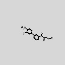 CC(C)CCNC(=O)c1cccc(-c2ccc(N)c(N)c2)c1